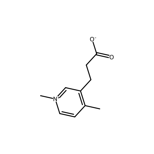 Cc1cc[n+](C)cc1CCC(=O)[O-]